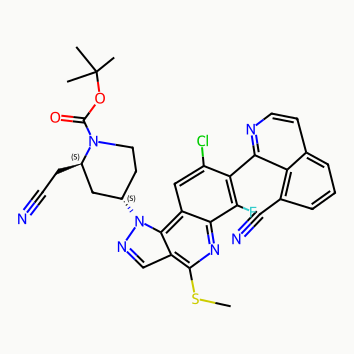 CSc1nc2c(F)c(-c3nccc4cccc(C#N)c34)c(Cl)cc2c2c1cnn2[C@H]1CCN(C(=O)OC(C)(C)C)[C@H](CC#N)C1